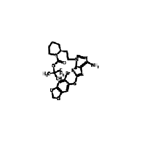 CC(C)(C)OC(=O)N1CCCC[C@H]1CCn1cnc(N)c2nc(Sc3cc4c(cc3Br)OCO4)nc1-2